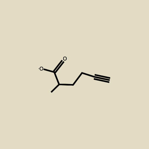 C#CCCC(C)C([O])=O